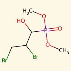 COP(=O)(OC)C(O)C(Br)CBr